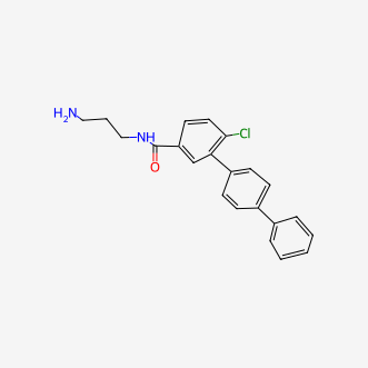 NCCCNC(=O)c1ccc(Cl)c(-c2ccc(-c3ccccc3)cc2)c1